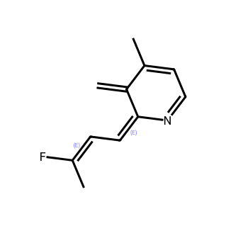 C=c1c(C)ccn/c1=C/C=C(\C)F